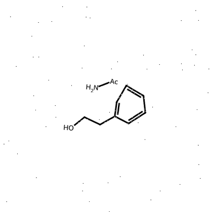 CC(N)=O.OCCc1ccccc1